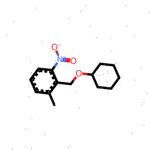 Cc1cccc([N+](=O)[O-])c1COC1CCCCC1